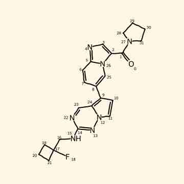 O=C(c1cnc2ccc(-c3ccn4nc(NCC5(F)CCC5)ncc34)cn12)N1CCCC1